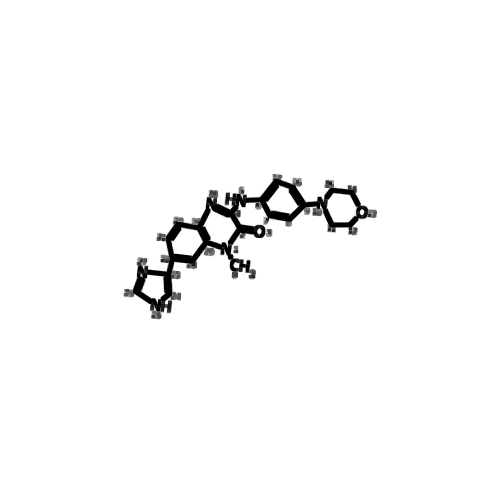 Cn1c(=O)c(Nc2ccc(N3CCOCC3)cc2)nc2ccc(-c3c[nH]cn3)cc21